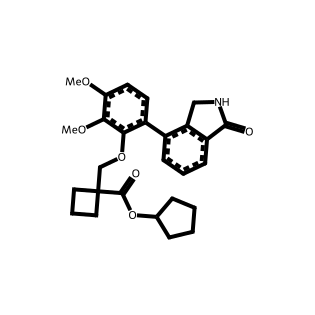 COc1ccc(-c2cccc3c2CNC3=O)c(OCC2(C(=O)OC3CCCC3)CCC2)c1OC